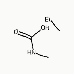 CCC.CNC(=O)O